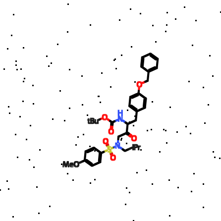 COc1ccc(S(=O)(=O)N(CC(=O)C(Cc2ccc(OCc3ccccc3)cc2)NC(=O)OC(C)(C)C)CC(C)C)cc1